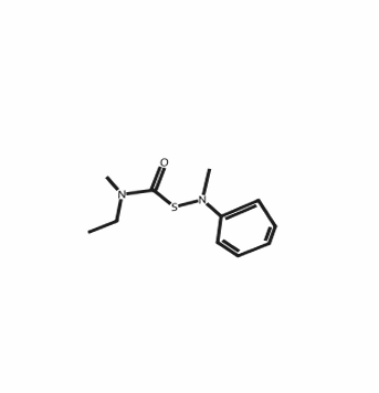 CCN(C)C(=O)SN(C)c1ccccc1